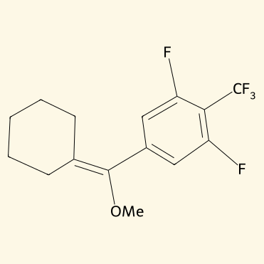 COC(=C1CCCCC1)c1cc(F)c(C(F)(F)F)c(F)c1